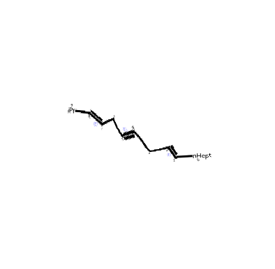 [CH2]CCCCCC/C=C/C/C=C/C/C=C/C(C)C